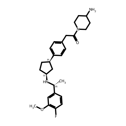 COc1cc([C@@H](C)N[C@H]2CC[C@@H](c3ccc(CC(=O)N4CCC(N)CC4)cc3)C2)ccc1F